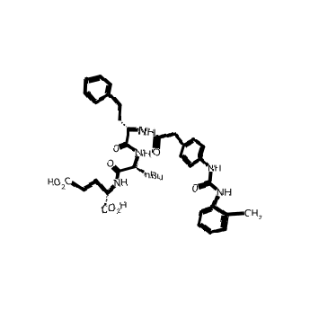 CCCC[C@H](NC(=O)[C@H](CCc1ccccc1)NC(=O)Cc1ccc(NC(=O)Nc2ccccc2C)cc1)C(=O)N[C@@H](CCC(=O)O)C(=O)O